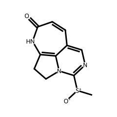 C[S+]([O-])C1=NC=C2C=CC(=O)NC3=C2N1CC3